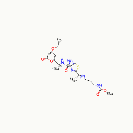 CCCC[C@@H](NC(=O)[C@]1(N)CSC(/C(C)=N/CCCNC(=O)OC(C)(C)C)=N1)c1cc(OCC2CC2)cc(=O)o1